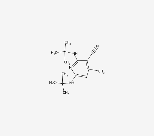 Cc1cc(NC(C)(C)C)nc(NC(C)(C)C)c1C#N